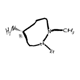 CCN1C[C@H](N)CCN1C